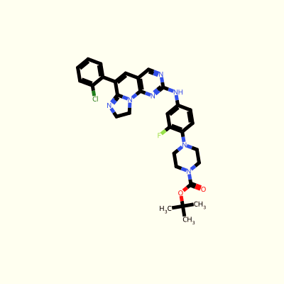 CC(C)(C)OC(=O)N1CCN(c2ccc(Nc3ncc4c(n3)N3CCN=C3C(c3ccccc3Cl)=C4)cc2F)CC1